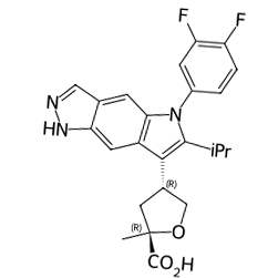 CC(C)c1c([C@@H]2CO[C@@](C)(C(=O)O)C2)c2cc3[nH]ncc3cc2n1-c1ccc(F)c(F)c1